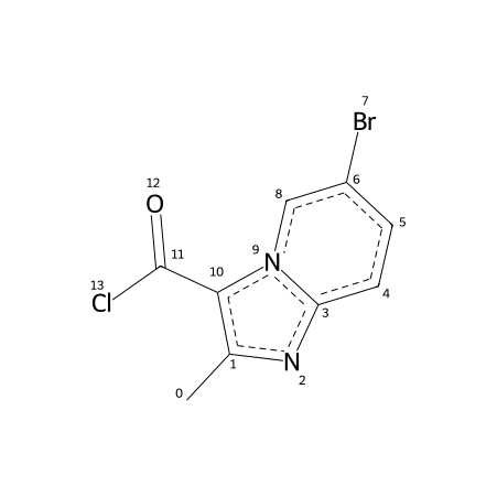 Cc1nc2ccc(Br)cn2c1C(=O)Cl